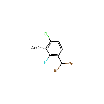 CC(=O)Oc1c(Cl)ccc(C(Br)Br)c1F